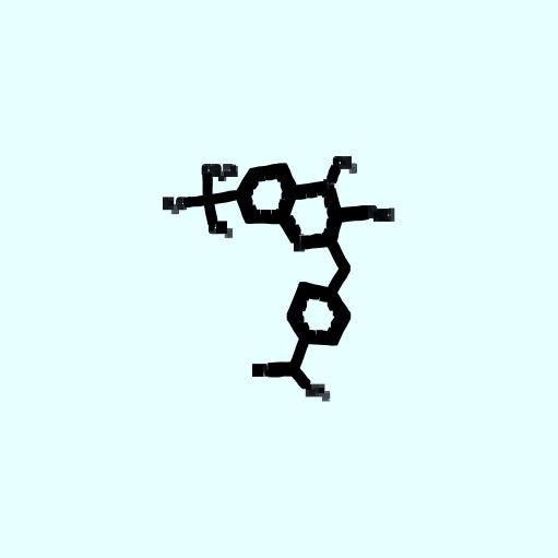 CCOC(=O)C(C)(C)c1ccc2c(c1)nc(Cc1ccc(C(=N)N)cc1)c(=O)n2C.Cl